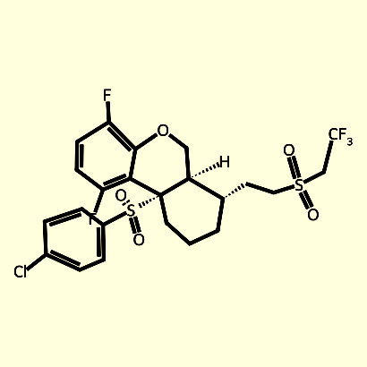 O=S(=O)(CC[C@@H]1CCC[C@@]2(S(=O)(=O)c3ccc(Cl)cc3)c3c(F)ccc(F)c3OC[C@@H]12)CC(F)(F)F